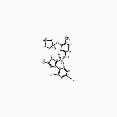 C[C@@]1(Oc2cc(NS(=O)(=O)c3sc(Cl)cc3-c3ccc(F)cc3F)ccc2C(F)(F)F)CCNC1